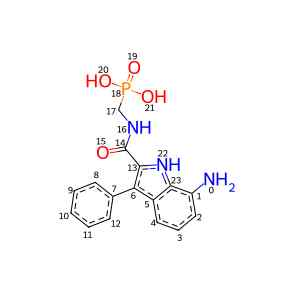 Nc1cccc2c(-c3ccccc3)c(C(=O)NCP(=O)(O)O)[nH]c12